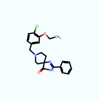 CCOc1cc(CN2CCC3(CC2)N=C(c2ccccc2)NC3=O)ccc1Cl